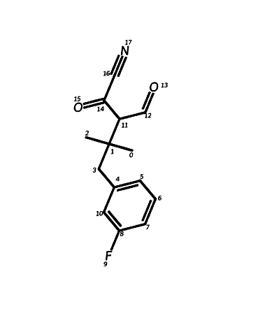 CC(C)(Cc1cccc(F)c1)C(C=O)C(=O)C#N